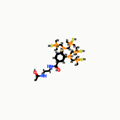 CC(=O)NCCNC(=O)c1ccc(P(CP(C)(C)=S)CP(C)(C)=S)c(P(CP(C)(C)=S)CP(C)(C)=S)c1